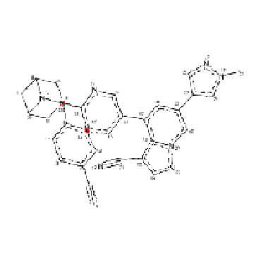 C#Cc1ccc(CN2C3CC2CN(c2ccc(-c4cc(-c5cnn(C)c5)cn5ncc(C#N)c45)cn2)C3)nc1